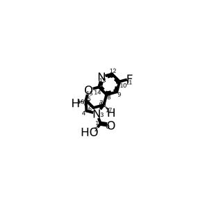 O=C(O)N1C[C@@H]2C[C@H]1c1cc(F)cnc1O2